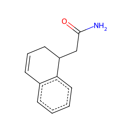 NC(=O)CC1CC=Cc2ccccc21